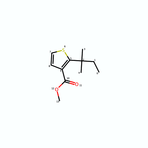 CCC(C)(C)c1sccc1C(=O)OC